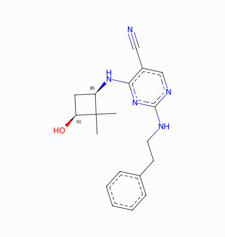 CC1(C)[C@@H](O)C[C@H]1Nc1nc(NCCc2ccccc2)ncc1C#N